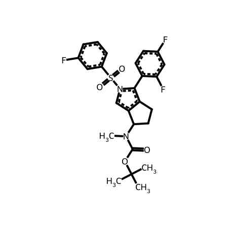 CN(C(=O)OC(C)(C)C)C1CCc2c1cn(S(=O)(=O)c1cccc(F)c1)c2-c1ccc(F)cc1F